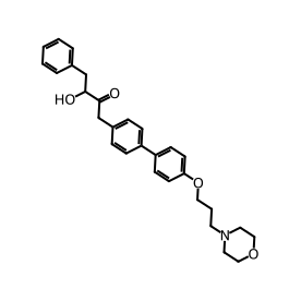 O=C(Cc1ccc(-c2ccc(OCCCN3CCOCC3)cc2)cc1)C(O)Cc1ccccc1